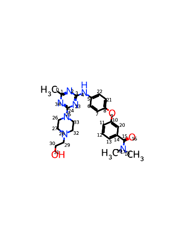 Cc1nc(Nc2ccc(Oc3cccc(C(=O)N(C)C)c3)cc2)nc(N2CCN(CCO)CC2)n1